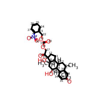 C[C@H]1C[C@@H]2[C@H]([C@@H](O)C[C@@]3(C)[C@H]2CC[C@]3(O)C(=O)COC(=O)OCc2ccccc2[N+](=O)[O-])[C@@]2(C)C=CC(=O)C=C12